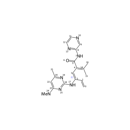 C=C/C(=C\C(C(=O)Nc1cnccn1)=C(C)C)Nc1nc(C)cc(NC)n1